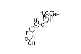 CC1(CCOc2ccc(C3(C)CCNN3)nc2)C=C(C2CC2C(=O)O)C(F)=CC1